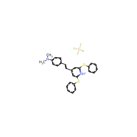 CN(C)c1ccc(C=Cc2cc(Sc3ccccc3)[nH+]c(Sc3ccccc3)c2)cc1.F[B-](F)(F)F